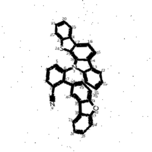 N#Cc1cccc(-n2c3ccccc3c3ccc4c5ccccc5sc4c32)c1-c1ccc2oc3ccccc3c2c1